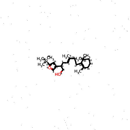 CC(=CCC(CO)c1coc([Si](C)(C)C)c1)CCC1=C(C)CCCC1(C)C